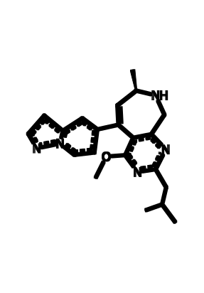 COc1nc(CC(C)C)nc2c1C(c1ccn3nccc3c1)=C[C@@H](C)NC2